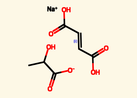 CC(O)C(=O)[O-].O=C(O)/C=C/C(=O)O.[Na+]